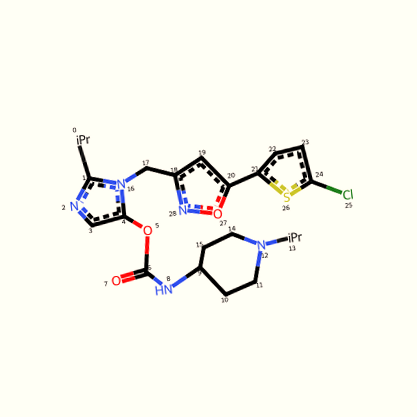 CC(C)c1ncc(OC(=O)NC2CCN(C(C)C)CC2)n1Cc1cc(-c2ccc(Cl)s2)on1